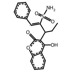 CCC(C(=[C]c1ccccc1)S(N)(=O)=O)c1c(O)c2ccccc2oc1=O